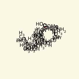 COCC1NC(=O)C(CC(=O)C(NC(=O)C(CC(=O)C(NC(=O)C(NC(=O)CC(O)/C=C\C(C)CC(C)C)C(O)C(N)=O)C(C)O)C(C)N)C(C)C(C)C(N)=O)C(C)OC(=O)C(C)N(C)C(=O)C(C(OC)c2ccc(O)cc2)NC(=O)C(CCC(N)=O)N(C)C(=O)C(CC(C)C)NC(=O)CNC1=O